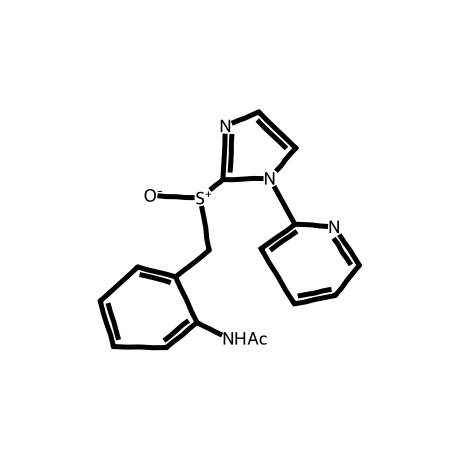 CC(=O)Nc1ccccc1C[S+]([O-])c1nccn1-c1ccccn1